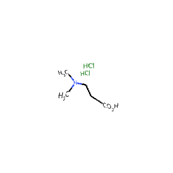 CN(C)CCC(=O)O.Cl.Cl